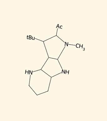 CC(=O)C1C(C(C)(C)C)C2C3NCCCC3NC2N1C